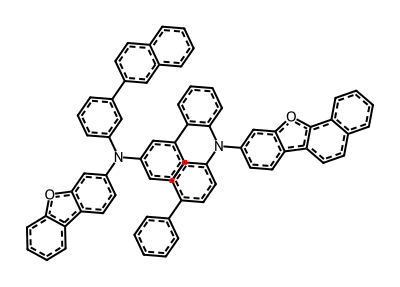 c1ccc(-c2ccc(N(c3ccc4c(c3)oc3c5ccccc5ccc43)c3ccccc3-c3cccc(N(c4cccc(-c5ccc6ccccc6c5)c4)c4ccc5c(c4)oc4ccccc45)c3)cc2)cc1